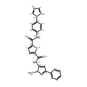 Cn1nc(-c2ccccc2)cc1NC(=O)c1ccc(C(=O)Nc2ccc(-n3cncn3)cc2)s1